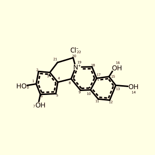 Oc1cc2c(cc1O)-c1cc3ccc(O)c(O)c3c[n+]1CC2.[Cl-]